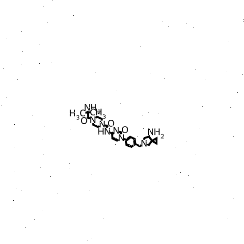 CC(C)(N)C(=O)N1CCN(C(=O)Nc2ccn(-c3ccc(CN4C[C@@H](N)C5(CC5)C4)cc3)c(=O)n2)CC1